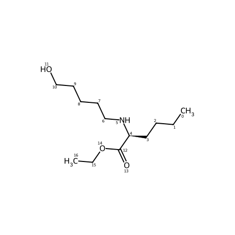 CCCC[C@H](NCCCCCO)C(=O)OCC